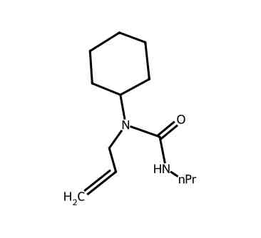 C=CCN(C(=O)NCCC)C1CCCCC1